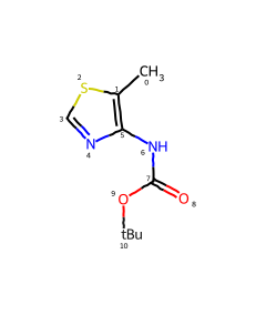 Cc1scnc1NC(=O)OC(C)(C)C